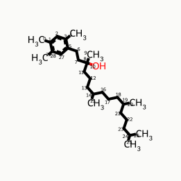 Cc1cc(C)c(CCC(C)(O)CCCC(C)CCCC(C)CCCC(C)C)cc1C